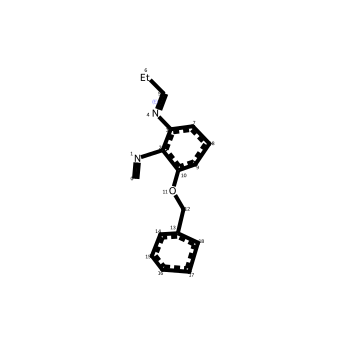 C=Nc1c(/N=C/CC)cccc1OCc1ccccc1